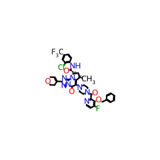 C[C@@H]1C[C@H](C(=O)Nc2ccc(C(F)(F)F)cc2Cl)n2c1c(N1CCN(C(=O)c3nccc(F)c3OCc3ccccc3)CC1)c(=O)n1nc(C3=CCOCC3)nc21